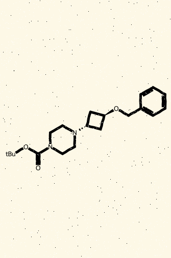 CC(C)(C)OC(=O)N1CCN([C@H]2C[C@H](OCc3ccccc3)C2)CC1